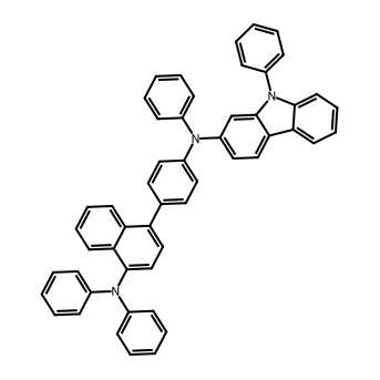 c1ccc(N(c2ccc(-c3ccc(N(c4ccccc4)c4ccccc4)c4ccccc34)cc2)c2ccc3c4ccccc4n(-c4ccccc4)c3c2)cc1